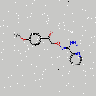 NC(=NOCC(=O)c1ccc(OC(F)(F)F)cc1)c1ccccn1